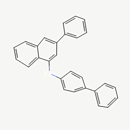 c1ccc(-c2ccc(Nc3cc(-c4ccccc4)cc4ccccc34)cc2)cc1